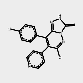 C=C1NN=C2C(c3ccc(Cl)cc3)=C(c3ccncc3)C(Cl)=NN12